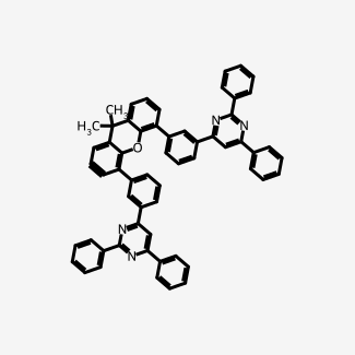 CC1(C)c2cc#cc(-c3cccc(-c4cc(-c5ccccc5)nc(-c5ccccc5)n4)c3)c2Oc2c(-c3cccc(-c4cc(-c5ccccc5)nc(-c5ccccc5)n4)c3)cccc21